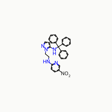 O=[N+]([O-])c1ccc(NCCn2nccc2NC(c2ccccc2)(c2ccccc2)c2ccccc2)nc1